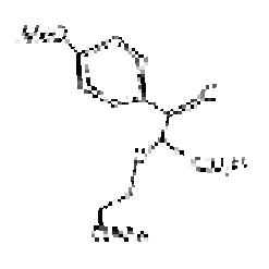 CCOC(=O)C(OCCOC)C(=O)c1ccc(OC)cc1